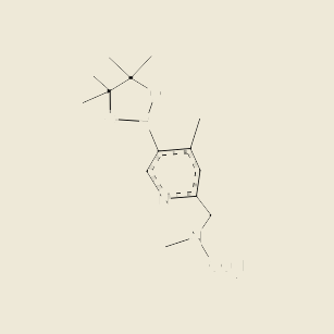 Cc1cc(CN(C)C(=O)O)ncc1B1OC(C)(C)C(C)(C)O1